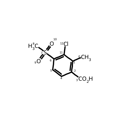 Cc1c(C(=O)O)ccc(S(C)(=O)=O)c1Cl